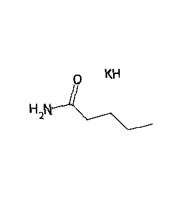 CCCCC(N)=O.[KH]